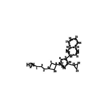 NCCCC1CC(n2cc(-c3cnc4ccccc4n3)c(C3CC3)n2)C1